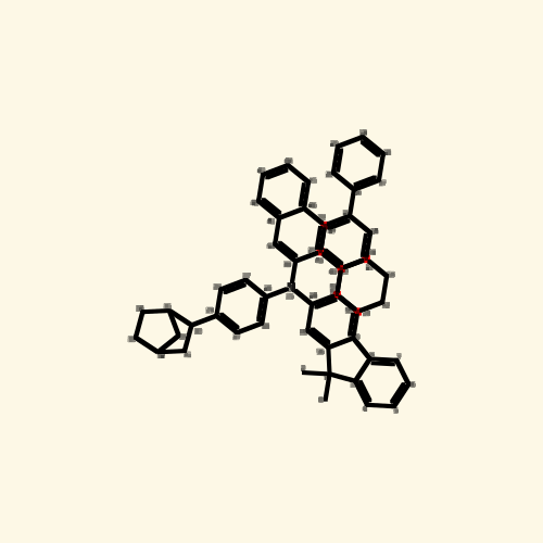 CC1(C)c2ccccc2-c2cc(-c3ccc(-c4ccccc4)cc3)c(N(c3ccc(C4CC5CCC4C5)cc3)c3cc4ccccc4cc3C3CCCCC3)cc21